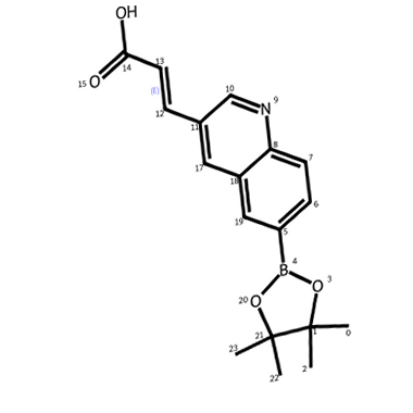 CC1(C)OB(c2ccc3ncc(/C=C/C(=O)O)cc3c2)OC1(C)C